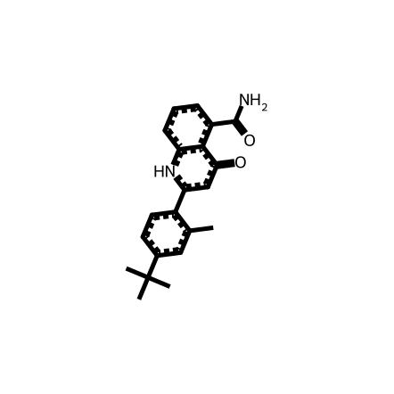 Cc1cc(C(C)(C)C)ccc1-c1cc(=O)c2c(C(N)=O)cccc2[nH]1